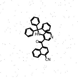 N#Cc1ccc(C(=O)c2cnccc2NC(c2ccccc2)(c2ccccc2)c2ccccc2)c2ccccc12